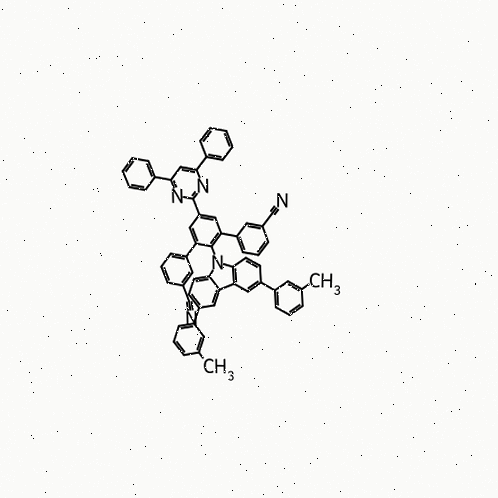 Cc1cccc(-c2ccc3c(c2)c2cc(-c4cccc(C)c4)ccc2n3-c2c(-c3cccc(C#N)c3)cc(-c3nc(-c4ccccc4)cc(-c4ccccc4)n3)cc2-c2cccc(C#N)c2)c1